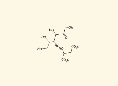 O=C(CO)C(O)C(O)C(O)CO.O=C(O)CC(O)C(=O)O